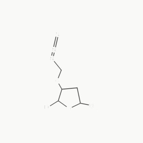 BC1CC(OCN=[N+]=[N-])C(CC)O1